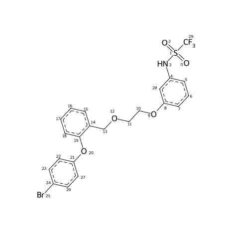 O=S(=O)(Nc1cccc(OCCOCc2ccccc2Oc2ccc(Br)cc2)c1)C(F)(F)F